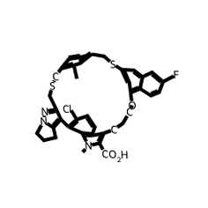 Cc1cc2ccc1CSCc1nn3c(c1-c1c(Cl)ccc4c(c(C(=O)O)n(C)c14)CCCOc1cc(cc4cc(F)ccc14)SC2)CCC3